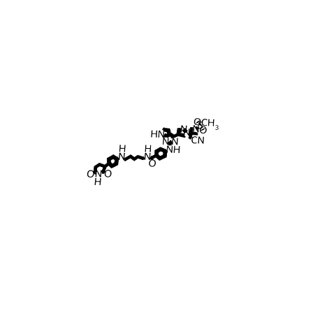 CS(=O)(=O)N1CC(CC#N)(n2cc(-c3nc(Nc4ccc(C(=O)NCCCCCNc5ccc(C6CCC(=O)NC6=O)cc5)cc4)nc4[nH]ccc34)cn2)C1